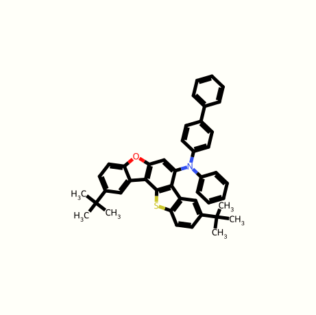 CC(C)(C)c1ccc2sc3c(c(N(c4ccccc4)c4ccc(-c5ccccc5)cc4)cc4oc5ccc(C(C)(C)C)cc5c43)c2c1